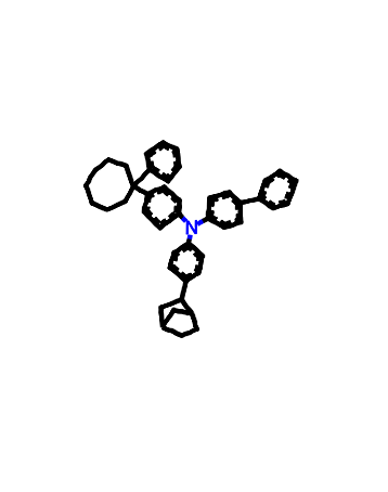 c1ccc(-c2ccc(N(c3ccc(C4CC5CCC4C5)cc3)c3ccc(C4(c5ccccc5)CCCCCCC4)cc3)cc2)cc1